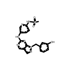 CS(=O)(=O)Nc1ccc(Nc2ncc3cnn(Cc4cccc(O)c4)c3n2)cn1